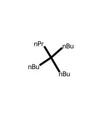 [CH2]CCC(CCCC)(CCCC)CCCC